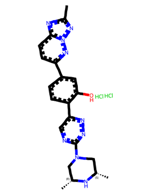 Cc1nc2ccc(-c3ccc(-c4cnc(N5C[C@@H](C)N[C@@H](C)C5)nn4)c(O)c3)nn2n1.Cl.Cl